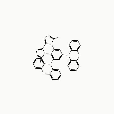 Cc1nnc2c3nnc(C)n3c3c(N4c5ccccc5Sc5ccccc54)cc(N4c5ccccc5Oc5ccccc54)cc3n12